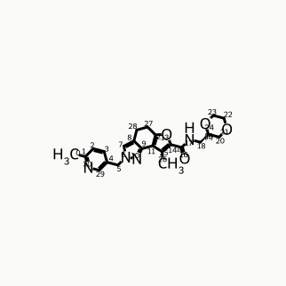 Cc1ccc(Cn2cc3c(n2)-c2c(oc(C(=O)NC[C@@H]4COCCO4)c2C)CC3)cn1